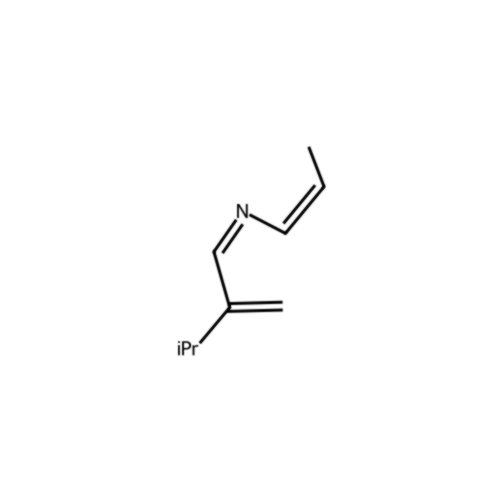 C=C(/C=N\C=C/C)C(C)C